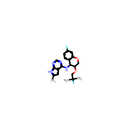 CC(C)(F)COC1COc2cc(F)ccc2C1Nc1ncnc2[nH]c(C(F)(F)F)cc12